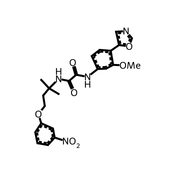 COc1cc(NC(=O)C(=O)NC(C)(C)CCOc2cccc([N+](=O)[O-])c2)ccc1-c1cnco1